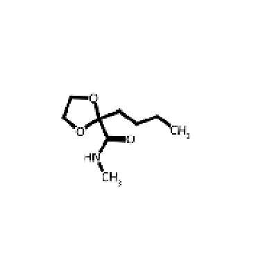 CCCCC1(C(=O)NC)OCCO1